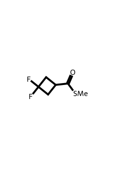 CSC(=O)C1CC(F)(F)C1